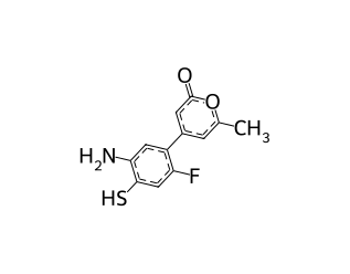 Cc1cc(-c2cc(N)c(S)cc2F)cc(=O)o1